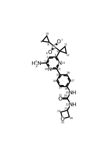 Nc1cc(C2(S(=O)(=O)C3CC3)CC2)nc(-c2ccc(NC(=O)NC3COC3)cc2)n1